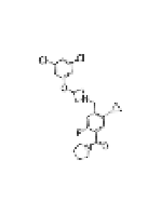 O=C(c1cc(C2CC2)c(CN2CC(Oc3cc(Cl)cc(Cl)c3)C2)cc1F)N1CCCC1